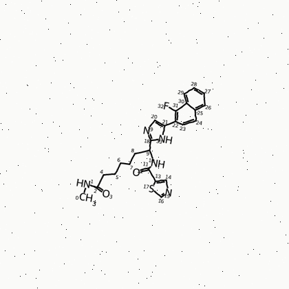 CNC(=O)CCCCCC(NC(=O)c1cncs1)c1ncc(-c2ccc3ccccc3c2F)[nH]1